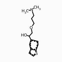 CN(C)CCCOCC(O)c1ccc2sccc2c1